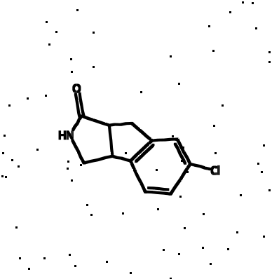 O=C1NCC2c3ccc(Cl)cc3CC12